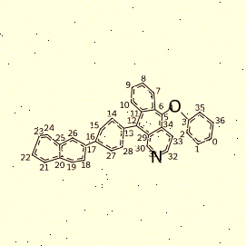 c1ccc(Oc2c3ccccc3c(-c3ccc(-c4ccc5ccccc5c4)cc3)c3cnccc23)cc1